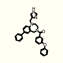 O=C(c1cccc(Oc2ccccc2)c1)N1CCN(Cc2c[nH]cn2)c2ccc(-c3ccccc3)cc2C1